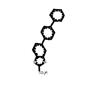 O=C(O)c1nc2cc(-c3ccc(-c4ccccc4)cc3)ccc2s1